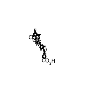 Cc1cc(-c2nnc(N(CC3CC3)C(=O)c3ccc(F)cc3Cl)s2)cc(C)c1OCCN1CCC(C(=O)O)CC1